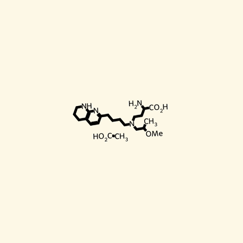 CC(=O)O.COC(C)CN(CCCCc1ccc2c(n1)NCCC2)CCC(N)C(=O)O